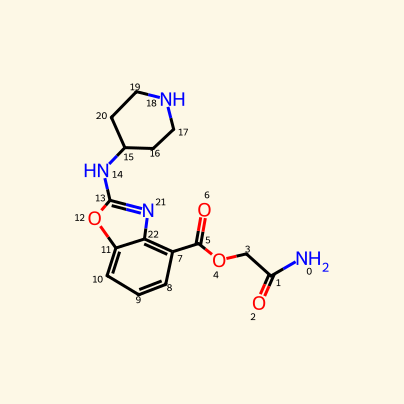 NC(=O)COC(=O)c1cccc2oc(NC3CCNCC3)nc12